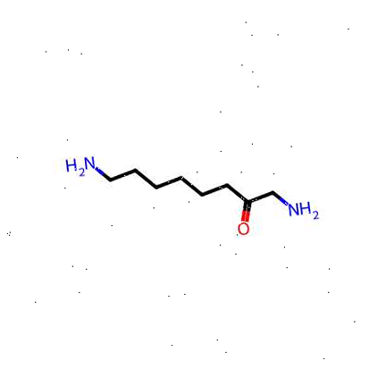 NCCCCCCC(=O)CN